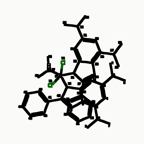 CC(C)c1cc(C(C)C)c2c(c1)[CH]([Zr]([Cl])([Cl])([CH]1C(c3ccccc3)=Cc3c(C(C)C)cc(C(C)C)cc31)[SiH](C)C)C(c1ccccc1)=C2